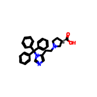 O=C(O)[C@H]1CCN(CCc2cncn2C(c2ccccc2)(c2ccccc2)c2ccccc2)C1